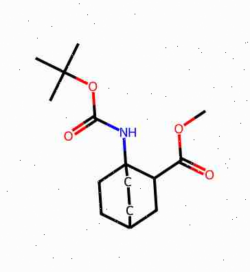 COC(=O)C1CC2CCC1(NC(=O)OC(C)(C)C)CC2